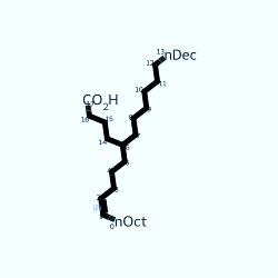 CCCCCCCC/C=C\CCCC(CCCCCCCCCCCCCCCC)CCCC(=O)O